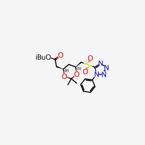 CC(C)COC(=O)C[C@H]1C[C@@H](CS(=O)(=O)c2nnnn2-c2ccccc2)OC(C)(C)O1